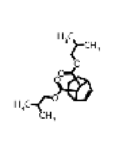 CC(C)COC(=O)C1C2C=CC(CCC2)C1C(=O)OCC(C)C